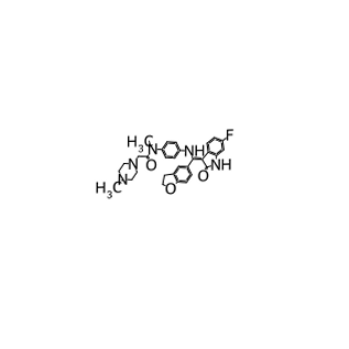 CN1CCN(CC(=O)N(C)c2ccc(NC(=C3C(=O)Nc4cc(F)ccc43)c3ccc4c(c3)CCO4)cc2)CC1